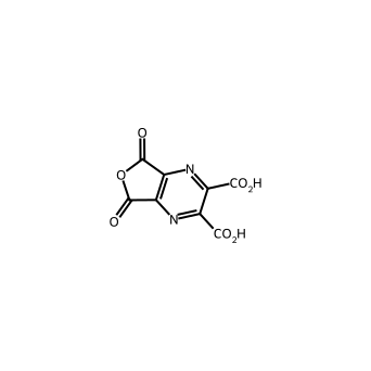 O=C(O)c1nc2c(nc1C(=O)O)C(=O)OC2=O